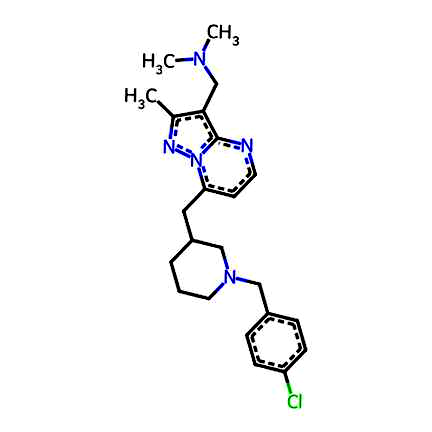 Cc1nn2c(CC3CCCN(Cc4ccc(Cl)cc4)C3)ccnc2c1CN(C)C